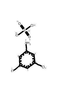 Nc1cc(Cl)cc(Cl)c1.O=S(=O)(Cl)Cl